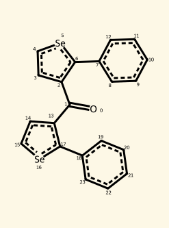 O=C(c1cc[se]c1-c1ccccc1)c1cc[se]c1-c1ccccc1